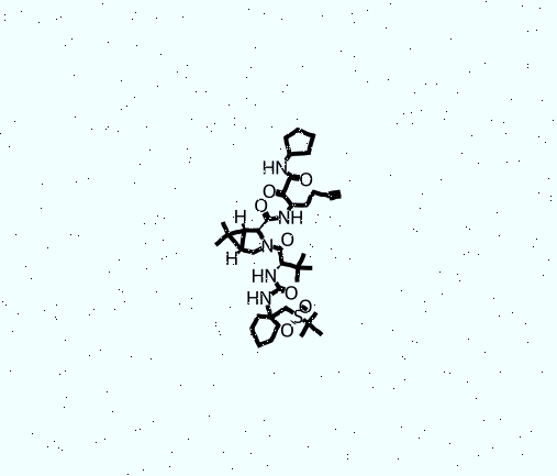 C#CCCC(NC(=O)[C@@H]1[C@@H]2[C@H](CN1C(=O)[C@@H](NC(=O)NC1(CS(=O)(=O)C(C)(C)C)CCCCC1)C(C)(C)C)C2(C)C)C(=O)C(=O)NC1CCCC1